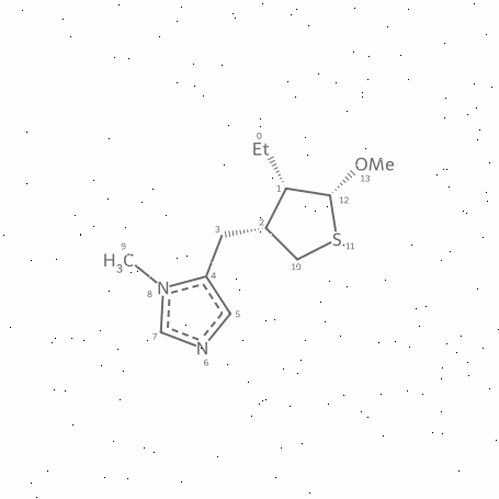 CC[C@H]1[C@@H](Cc2cncn2C)CS[C@H]1OC